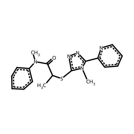 CC(Sc1nnc(-c2ccccn2)n1C)C(=O)N(C)c1ccccc1